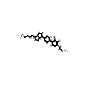 CCC/C=C/C1CCC2C(c3ccc(-c4ccc(OCC)c(F)c4F)cc3)=CCC12